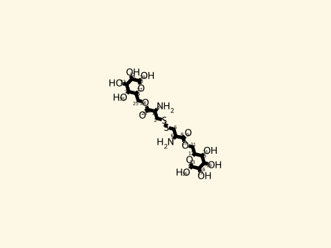 NC(CSSCC(N)C(=O)OCC1OC(O)C(O)C(O)C1O)C(=O)OCC1OC(O)C(O)C(O)C1O